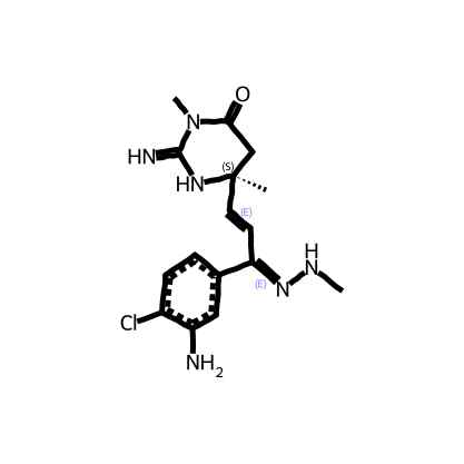 CN/N=C(\C=C\[C@]1(C)CC(=O)N(C)C(=N)N1)c1ccc(Cl)c(N)c1